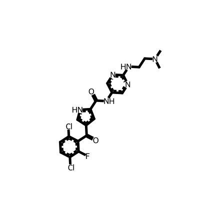 CN(C)CCNc1ncc(NC(=O)c2cc(C(=O)c3c(Cl)ccc(Cl)c3F)c[nH]2)cn1